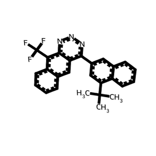 CC(C)(C)c1cc(-c2nnnc3c(C(F)(F)F)c4ccccc4cc23)cc2ccccc12